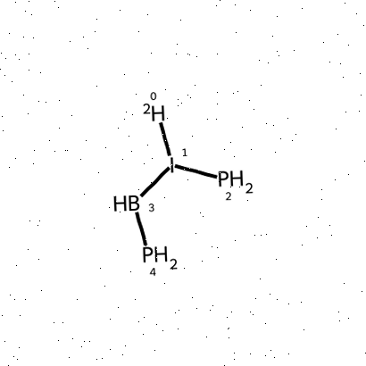 [2H]I(P)BP